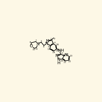 Cc1nn(CCN2CCOCC2)c2ccc(Nc3n[nH]c4cccnc34)cc12